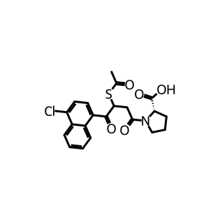 CC(=O)SC(CC(=O)N1CCC[C@H]1C(=O)O)C(=O)c1ccc(Cl)c2ccccc12